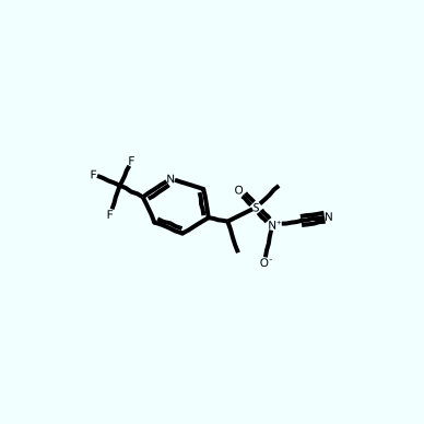 CC(c1ccc(C(F)(F)F)nc1)S(C)(=O)=[N+]([O-])C#N